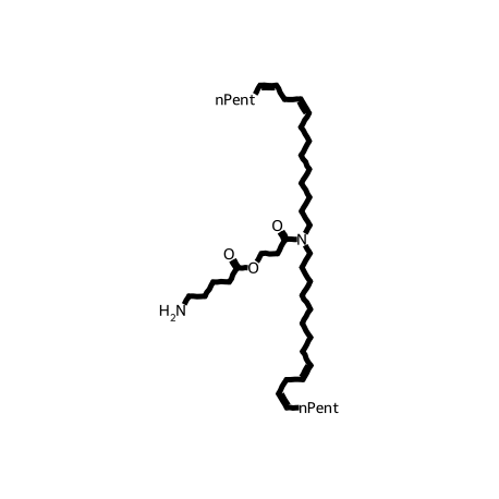 CCCCC/C=C\C/C=C\CCCCCCCCN(CCCCCCCC/C=C\C/C=C\CCCCC)C(=O)CCOC(=O)CCCCN